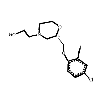 OCCN1CCO[C@H](COc2ccc(Cl)cc2I)C1